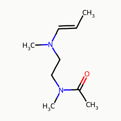 C/C=C/N(C)CCN(C)C(C)=O